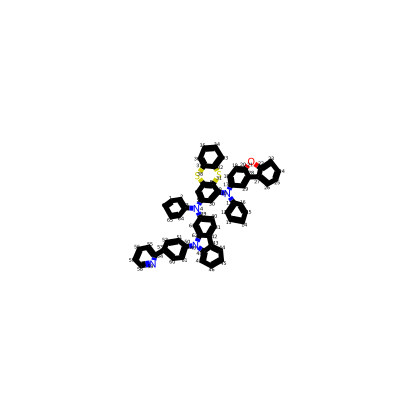 c1ccc(N(c2cc3c(c(N(c4ccccc4)c4ccc5oc6ccccc6c5c4)c2)Sc2ccccc2S3)c2ccc3c4ccccc4n(-c4ccc(-c5ccccn5)cc4)c3c2)cc1